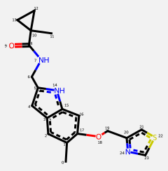 Cc1cc2cc(CNC(=O)C3(C)CC3)[nH]c2cc1OCc1cscn1